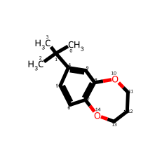 CC(C)(C)c1ccc2c(c1)OC[C]CO2